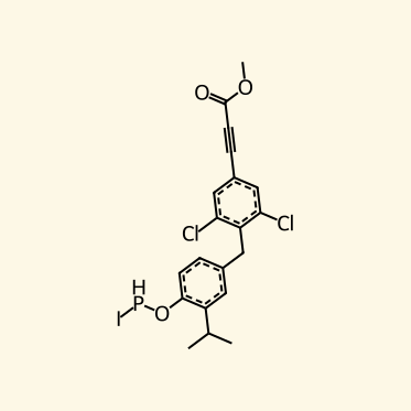 COC(=O)C#Cc1cc(Cl)c(Cc2ccc(OPI)c(C(C)C)c2)c(Cl)c1